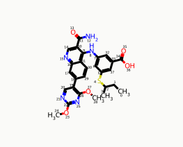 CCC(C)Sc1cc(Nc2c(C(N)=O)cnc3cc(-c4cnc(OC)nc4OC)ccc23)cc(C(=O)O)c1